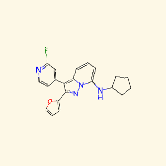 Fc1cc(-c2c(-c3ccco3)nn3c(NC4CCCC4)cccc23)ccn1